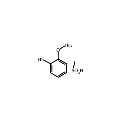 CC(C)(C)Oc1ccccc1S.CS(=O)(=O)O